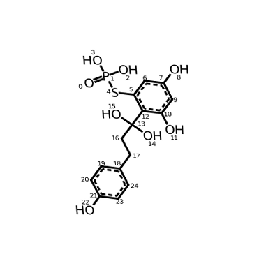 O=P(O)(O)Sc1cc(O)cc(O)c1C(O)(O)CCc1ccc(O)cc1